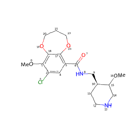 COc1c(Cl)cc(C(=O)NC[C@@H]2CCNCC2OC)c2c1OCCCO2